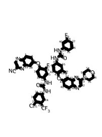 N#Cc1cnc2ccc(Oc3ccc(NC(=O)Nc4ccc(Cl)c(C(F)(F)F)c4)cc3F)cc2n1.O=C(Nc1cccc(F)c1)Nc1ccc(Oc2ccc3ncc(N4CCOCC4)nc3c2)c(F)c1